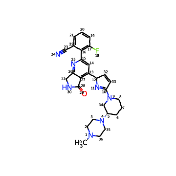 CN1CCN([C@H]2CCCN(C3=NC(c4cc(-c5c(F)cccc5C#N)nc5c4C(=O)NC5)C=C3)C2)CC1